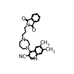 Cc1cc2ncc(C#N)c(N3CCCN(CCCN4C(=O)c5ccccc5C4=O)CC3)c2cc1C